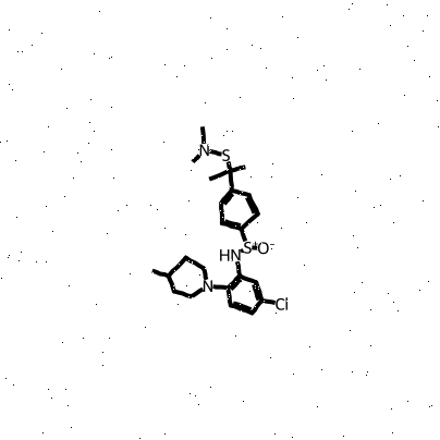 CC1CCN(c2ccc(Cl)cc2N[S+]([O-])c2ccc(C(C)(C)SN(C)C)cc2)CC1